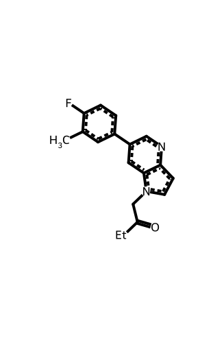 CCC(=O)Cn1ccc2ncc(-c3ccc(F)c(C)c3)cc21